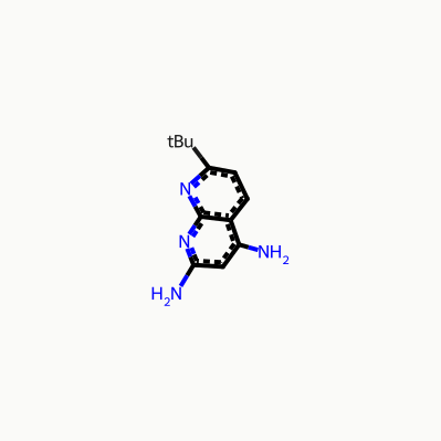 CC(C)(C)c1ccc2c(N)cc(N)nc2n1